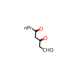 CCCC(=O)CC(=O)CC=O